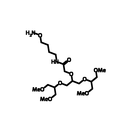 COCC(COC)OCC(COC(COC)COC)OCC(=O)NCCCCON